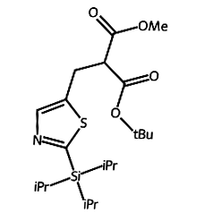 COC(=O)C(Cc1cnc([Si](C(C)C)(C(C)C)C(C)C)s1)C(=O)OC(C)(C)C